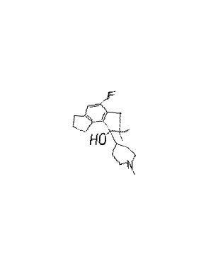 CN1CCC(C2(O)c3c(c(F)cc4c3CCC4)CC2(C)C)CC1